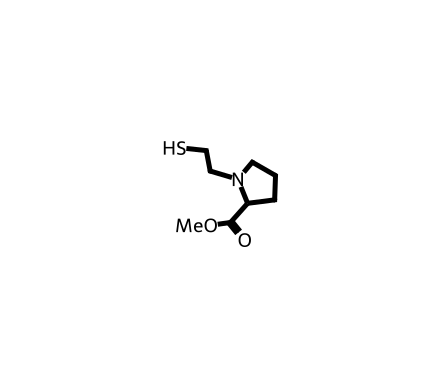 COC(=O)C1CCCN1CCS